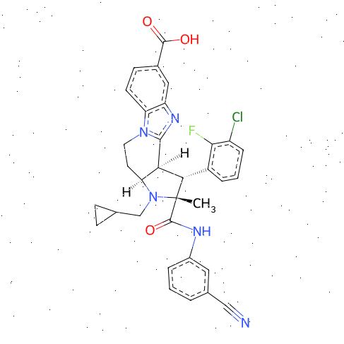 C[C@]1(C(=O)Nc2cccc(C#N)c2)[C@@H](c2cccc(Cl)c2F)[C@@H]2c3nc4cc(C(=O)O)ccc4n3CC[C@@H]2N1CC1CC1